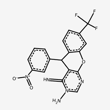 N=c1c2c(ncn1N)Oc1cc(C(F)(F)F)ccc1C2c1cccc([N+](=O)[O-])c1